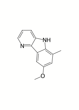 COc1cc(C)c2[nH]c3cccnc3c2c1